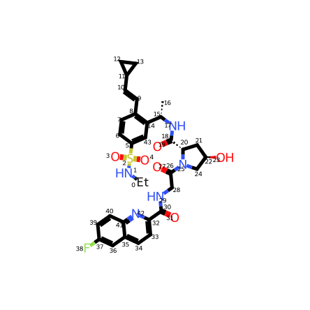 CCNS(=O)(=O)c1ccc(/C=C/C2CC2)c([C@H](C)NC(=O)[C@@H]2C[C@@H](O)CN2C(=O)CNC(=O)c2ccc3cc(F)ccc3n2)c1